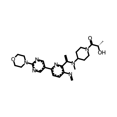 C=Nc1ccc(-c2cnc(N3CCOCC3)nc2)nc1C(=C)N(C)C1CCN(C(=O)[C@H](C)O)CC1